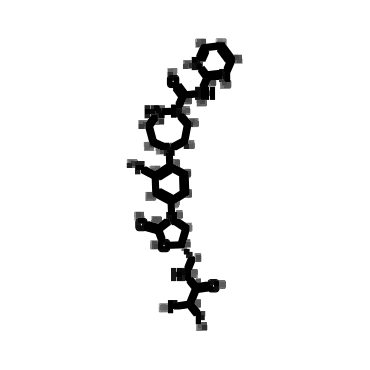 O=C(NC[C@H]1CN(c2ccc(N3CCNN(C(=O)Nc4ncccn4)CC3)c(F)c2)C(=O)O1)C(F)F